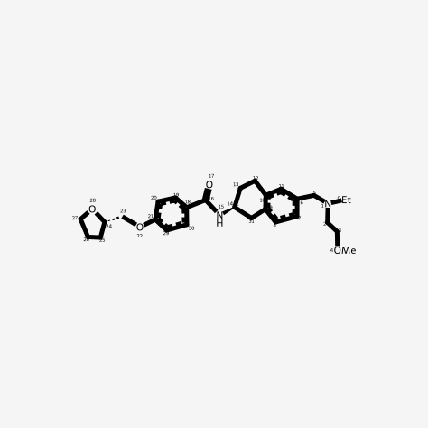 CCN(CCOC)Cc1ccc2c(c1)CC[C@H](NC(=O)c1ccc(OC[C@@H]3CCCO3)cc1)C2